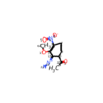 COC1=C([N+](=O)[O-])C=CC(C(C)=O)C1=[N+]=[N-]